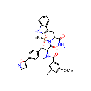 CCCCS(=O)(=O)N(C(=O)[C@H](Cc1ccc(-c2ccno2)cc1)N(C)C(=O)c1cc(C)cc(OC)c1)[C@@H](Cc1c[nH]c2ccccc12)C(N)=O